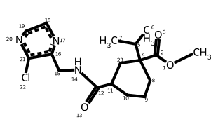 COC(=O)C1(C(C)C)CCCC(C(=O)NCc2nccnc2Cl)C1